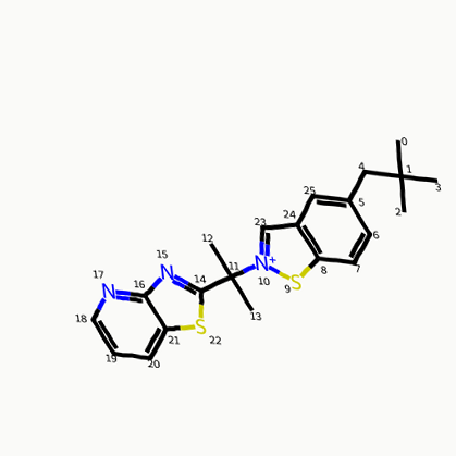 CC(C)(C)Cc1ccc2s[n+](C(C)(C)c3nc4ncccc4s3)cc2c1